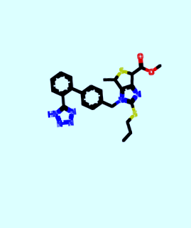 CCCSc1nc2c(n1Cc1ccc(-c3ccccc3-c3nnn[nH]3)cc1)C(C)SC2C(=O)OC